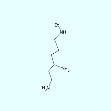 CCNCCCC(N)CCN